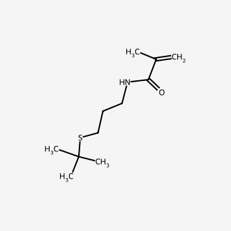 C=C(C)C(=O)NCCCSC(C)(C)C